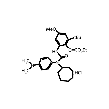 CCOC(=O)Oc1c(NC(=O)N(c2ccc(N(C)C)cc2)C2CCCCCC2)cc(OC)cc1C(C)(C)C.Cl